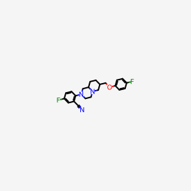 N#Cc1cc(F)ccc1N1CCN2CC(COc3ccc(F)cc3)CCC2C1